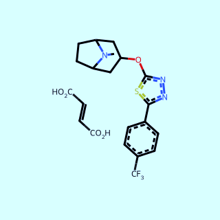 CN1C2CCC1CC(Oc1nnc(-c3ccc(C(F)(F)F)cc3)s1)C2.O=C(O)/C=C/C(=O)O